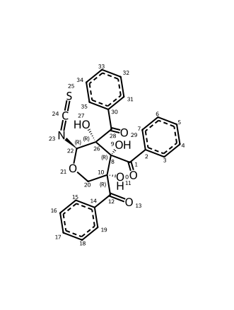 O=C(c1ccccc1)[C@@]1(O)[C@@](O)(C(=O)c2ccccc2)CO[C@@H](N=C=S)[C@@]1(O)C(=O)c1ccccc1